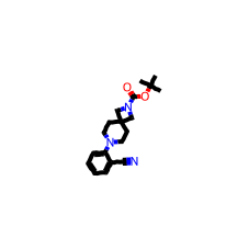 CC(C)(C)OC(=O)N1CC2(CCN(c3ccccc3C#N)CC2)C1